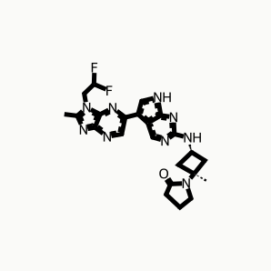 Cc1nc2ncc(-c3c[nH]c4nc(N[C@H]5C[C@](C)(N6CCCC6=O)C5)ncc34)nc2n1CC(F)F